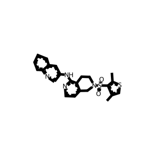 Cc1csc(C)c1S(=O)(=O)N1CCc2c(ccnc2Nc2cnc3ccccc3c2)C1